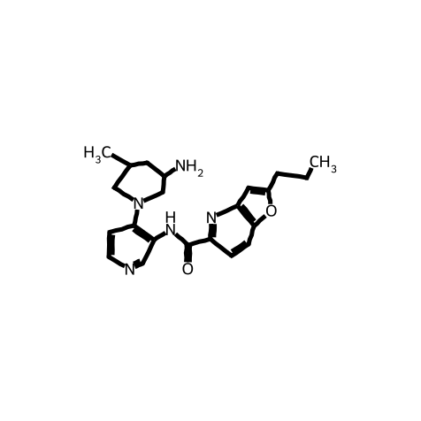 CCCc1cc2nc(C(=O)Nc3cnccc3N3CC(C)CC(N)C3)ccc2o1